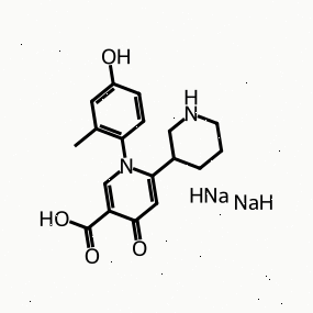 Cc1cc(O)ccc1-n1cc(C(=O)O)c(=O)cc1C1CCCNC1.[NaH].[NaH]